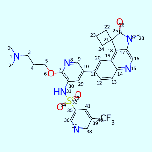 CN(C)CCCOc1ncc(-c2ccc3ncc4c(c3c2)C2(CCC2)C(=O)N4C)cc1NS(=O)(=O)c1cncc(C(F)(F)F)c1